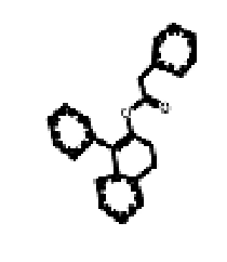 O=C(Cc1ccccc1)OC1=C(c2ccccc2)c2ccccc2CC1